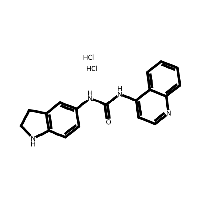 Cl.Cl.O=C(Nc1ccc2c(c1)CCN2)Nc1ccnc2ccccc12